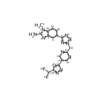 Cn1c(N)nc2cc(-c3nnn(Cc4ncc(-c5nnc(C(F)F)o5)cn4)n3)ccc21